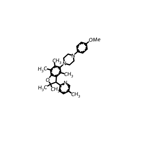 COc1ccc(N2CCN(c3c(C)c(C)c4c(c3C)C(c3ccc(C)cn3)C(C)(C)O4)CC2)cc1